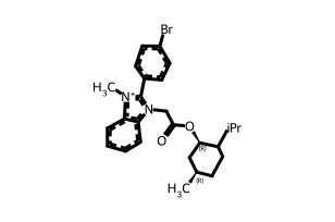 CC(C)C1CC[C@@H](C)C[C@H]1OC(=O)Cn1c(-c2ccc(Br)cc2)[n+](C)c2ccccc21